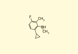 CBc1c(C2CC2)ccc(F)c1C